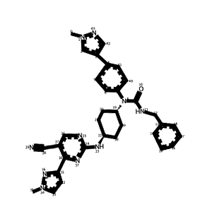 Cn1cc(-c2ccc(N(C(=O)NCc3ccccc3)[C@H]3CC[C@H](Nc4ncc(C#N)c(-c5ccn(C)n5)n4)CC3)cc2)cn1